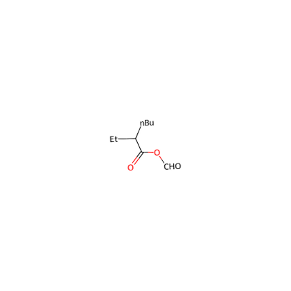 CCCCC(CC)C(=O)OC=O